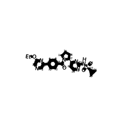 CCOc1cncc(-c2ccc(C(=O)N3CCC[C@@H]3c3ccnc(NS(=O)(=O)C4CC4)n3)cc2)n1